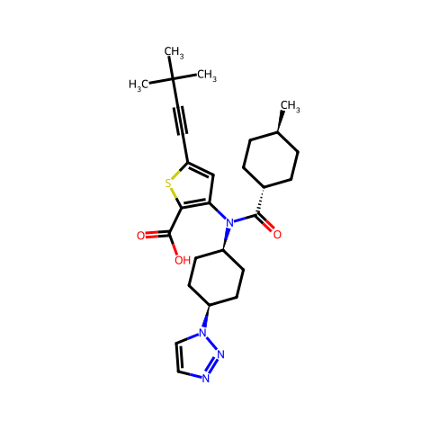 CC(C)(C)C#Cc1cc(N(C(=O)[C@H]2CC[C@H](C)CC2)[C@H]2CC[C@@H](n3ccnn3)CC2)c(C(=O)O)s1